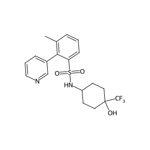 Cc1cccc(S(=O)(=O)NC2CCC(O)(C(F)(F)F)CC2)c1-c1cccnc1